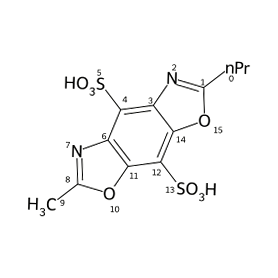 CCCc1nc2c(S(=O)(=O)O)c3nc(C)oc3c(S(=O)(=O)O)c2o1